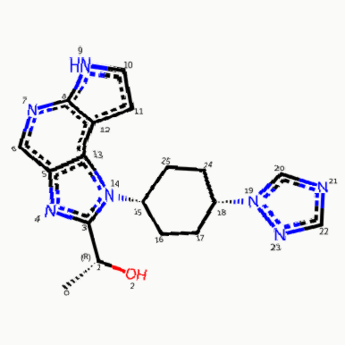 C[C@@H](O)c1nc2cnc3[nH]ccc3c2n1[C@H]1CC[C@@H](n2cncn2)CC1